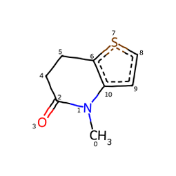 CN1C(=O)CCc2sccc21